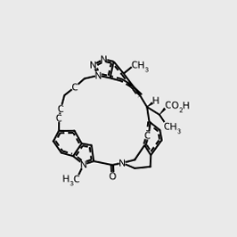 Cc1c2ccc3c1nnn3CCCCCc1ccc3c(c1)cc(n3C)C(=O)N1CCc3ccc(cc3C1)[C@H]2[C@H](C)C(=O)O